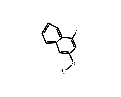 COc1cc([S])c2ccccc2c1